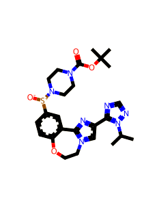 CC(C)n1ncnc1-c1cn2c(n1)-c1cc([S+]([O-])N3CCN(C(=O)OC(C)(C)C)CC3)ccc1OCC2